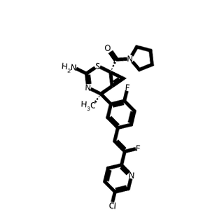 C[C@]1(c2cc(/C=C(\F)c3ccc(Cl)cn3)ccc2F)N=C(N)S[C@@]2(C(=O)N3CCCC3)C=C21